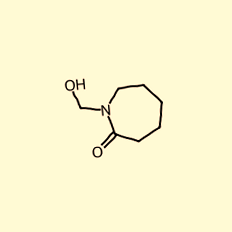 O=C1CCCCCN1CO